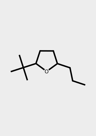 CCCC1CCC(C(C)(C)C)O1